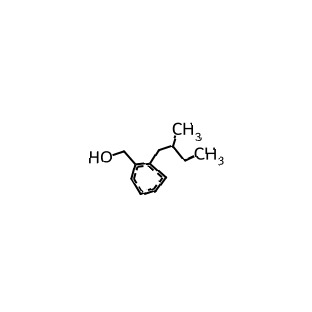 CCC(C)Cc1ccccc1CO